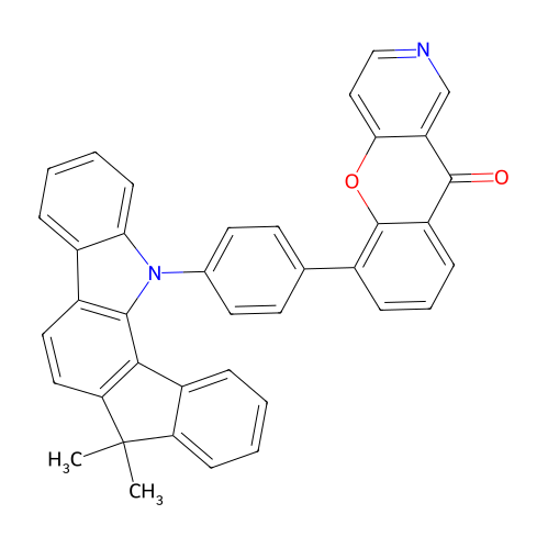 CC1(C)c2ccccc2-c2c1ccc1c3ccccc3n(-c3ccc(-c4cccc5c(=O)c6cnccc6oc45)cc3)c21